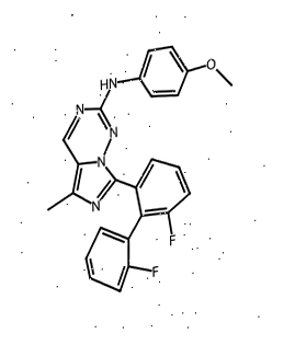 COc1ccc(Nc2ncc3c(C)nc(-c4cccc(F)c4-c4ccccc4F)n3n2)cc1